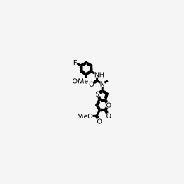 COC(=O)c1cc2sc(N(C)C(=O)Nc3ccc(F)cc3OC)cc2oc1=O